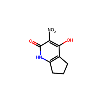 O=c1[nH]c2c(c(O)c1[N+](=O)[O-])CCC2